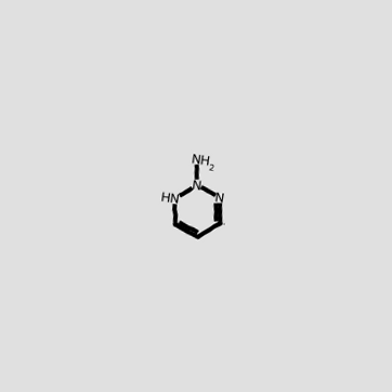 NN1N=[C]C=CN1